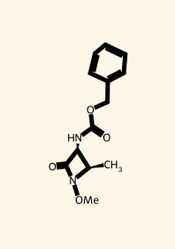 CON1C(=O)[C@H](NC(=O)OCc2ccccc2)[C@H]1C